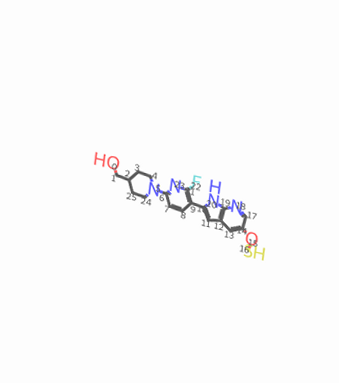 OCC1CCN(c2ccc(-c3cc4cc(OS)cnc4[nH]3)c(F)n2)CC1